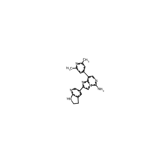 Cc1cc(-c2cnc(N)n3cc(-c4cnc5c(c4)CCN5)nc23)cc(C)n1